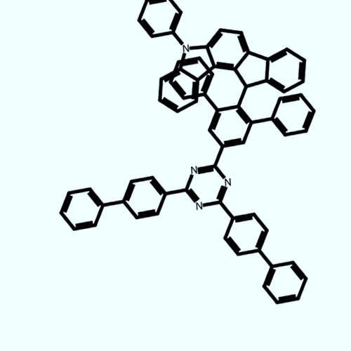 c1ccc(-c2ccc(-c3nc(-c4ccc(-c5ccccc5)cc4)nc(-c4cc(-c5ccccc5)c(C5c6ccccc6-c6ccc7c(c65)c5ccccc5n7-c5ccccc5)c(-c5ccccc5)c4)n3)cc2)cc1